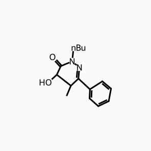 CCCCN1N=C(c2ccccc2)C(C)C(O)C1=O